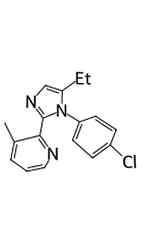 CCc1cnc(-c2ncccc2C)n1-c1ccc(Cl)cc1